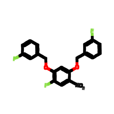 O=[N+]([O-])c1cc(F)c(OCc2cccc(F)c2)cc1OCc1cccc(F)c1